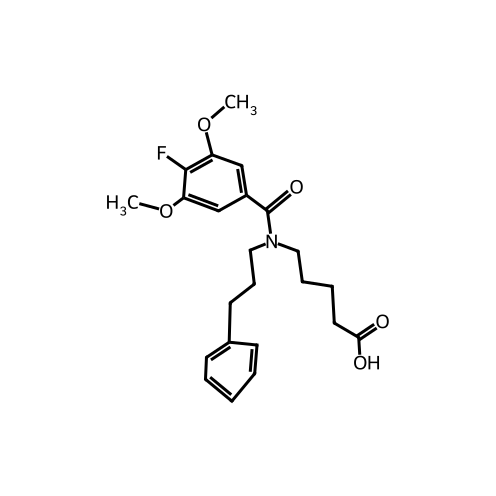 COc1cc(C(=O)N(CCCCC(=O)O)CCCc2ccccc2)cc(OC)c1F